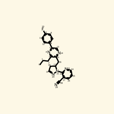 CCCc1nc(-c2ccc(F)cc2)cnc1CC1CC=NN1c1ncccc1C#N